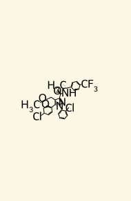 CC1OC(Cc2c(C(=O)N[C@H](C)c3ccc(C(F)(F)F)cc3)nn(-c3ccccc3Cl)c2C2=CCC(Cl)C=C2)O1